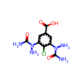 NC(=O)N(N)c1cc(C(=O)O)cc(N(N)C(N)=O)c1Cl